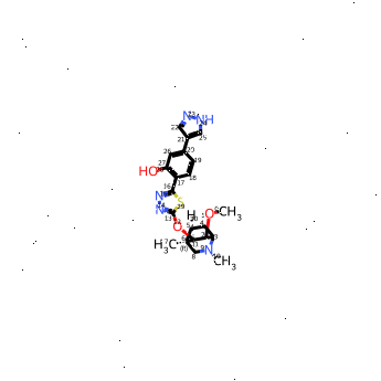 COC1C2CC[C@](C)(CN2C)[C@H]1Oc1nnc(-c2ccc(-c3cn[nH]c3)cc2O)s1